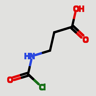 O=C(O)CCNC(=O)Cl